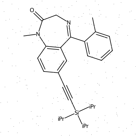 Cc1ccccc1C1=NCC(=O)N(C)c2ccc(C#C[Si](C(C)C)(C(C)C)C(C)C)cc21